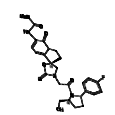 CNC(=O)NC1=CC=C2C(CC[C@]23CN(CC(=O)N2C(c4ccc(F)cc4)CC[C@H]2CO)C(=O)O3)C1=O